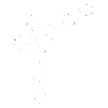 c1ccc(-c2ccc(-c3cc4c5c(c3)c3cc(-c6ccc(-c7ccccc7)cc6)cc6c3n5B(c3ccccc3-4)c3ccccc3-6)cc2)cc1